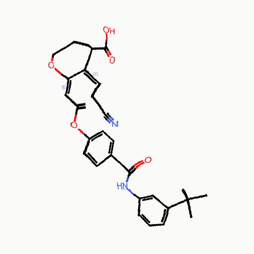 C=C(/C=C1/OCCC(C(=O)O)/C1=C/CC#N)Oc1ccc(C(=O)Nc2cccc(C(C)(C)C)c2)cc1